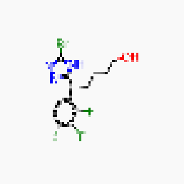 OCCCCC(c1nnc(Br)[nH]1)c1ccc(F)c(F)c1F